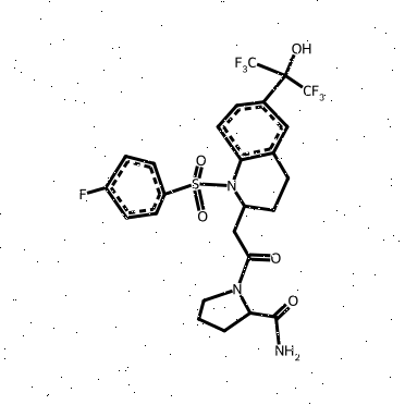 NC(=O)C1CCCN1C(=O)CC1CCc2cc(C(O)(C(F)(F)F)C(F)(F)F)ccc2N1S(=O)(=O)c1ccc(F)cc1